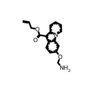 C=CCOC(=O)c1c2ccc(OCN)cc2n2ccccc12